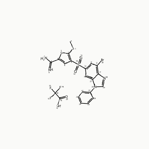 CSc1sc(C(=N)N)cc1S(=O)(=O)c1cc(Br)c2ncn(-c3ccccc3)c2c1.O=C(O)C(F)(F)F